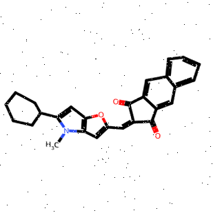 Cn1c(C2CCCCC2)cc2oc(C=C3C(=O)c4cc5ccccc5cc4C3=O)cc21